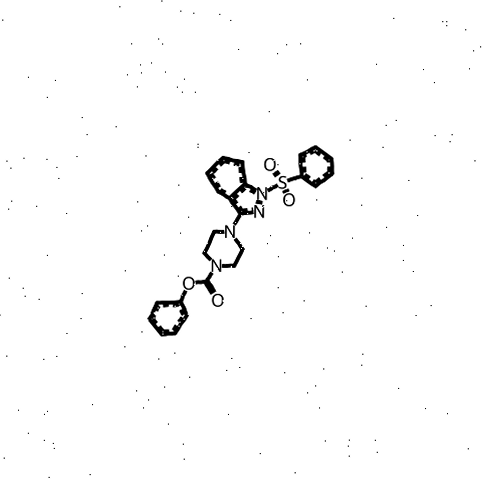 O=C(Oc1ccccc1)N1CCN(c2nn(S(=O)(=O)c3ccccc3)c3ccccc23)CC1